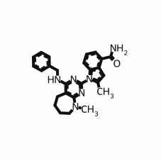 Cc1cc2c(C(N)=O)cccc2n1-c1nc(NCc2ccccc2)c2c(n1)N(C)CCCC2